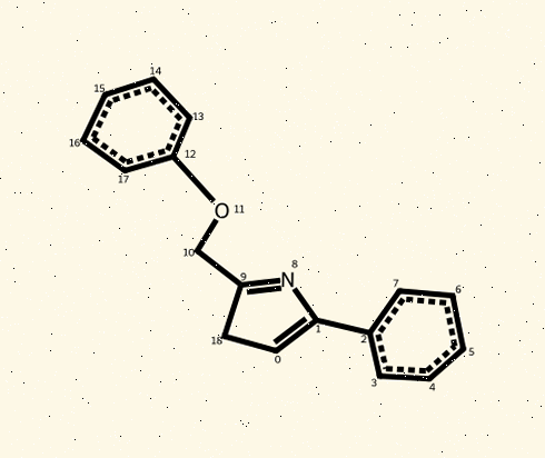 C1=C(c2ccccc2)N=C(COc2ccccc2)C1